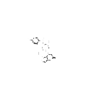 CC[C@H]1CN(C(C)c2ccc(F)cc2C(F)(F)F)[C@H](CC)CN1c1cc(=O)[nH]c2c[nH]nc12